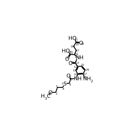 COCCCSCC(=O)Nc1cc(C(=O)NC(CCC(=O)O)C(=O)O)ccc1N